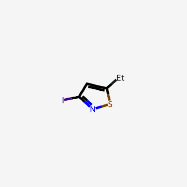 CCc1cc(I)ns1